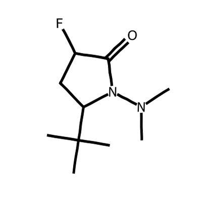 CN(C)N1C(=O)C(F)CC1C(C)(C)C